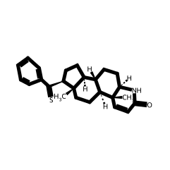 C[C@]12C=CC(=O)N[C@@H]1CC[C@@H]1[C@@H]2CC[C@]2(C)[C@@H](C(=S)c3ccccc3)CC[C@@H]12